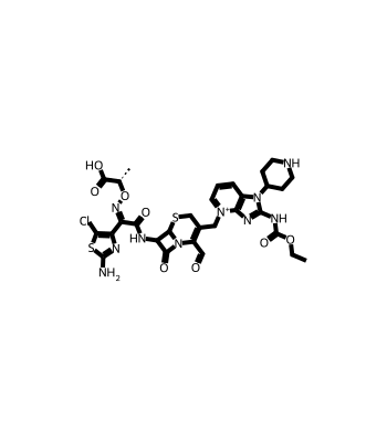 CCOC(=O)Nc1nc2c(ccc[n+]2CC2=C(C=O)N3C(=O)C(NC(=O)/C(=N\O[C@@H](C)C(=O)O)c4nc(N)sc4Cl)C3SC2)n1C1CCNCC1